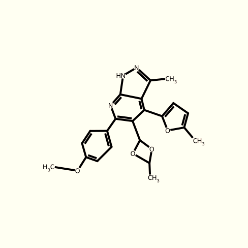 COc1ccc(-c2nc3[nH]nc(C)c3c(-c3ccc(C)o3)c2C2OC(C)O2)cc1